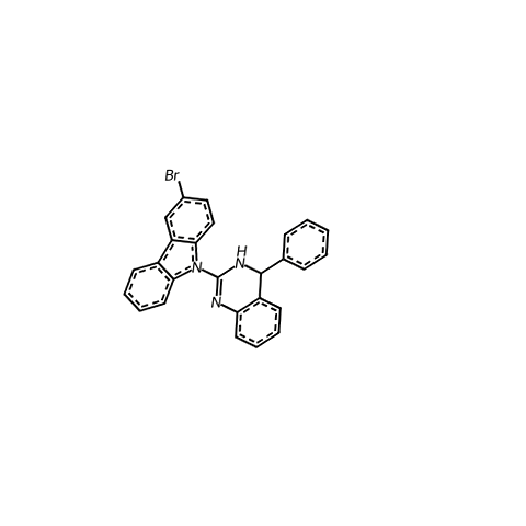 Brc1ccc2c(c1)c1ccccc1n2C1=Nc2ccccc2C(c2ccccc2)N1